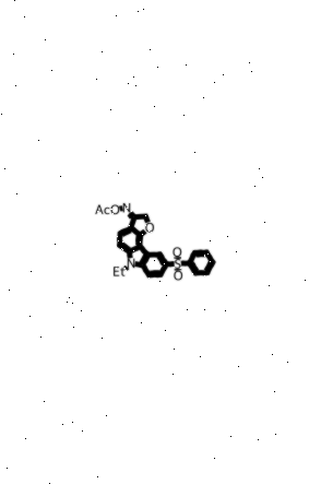 CCn1c2ccc(S(=O)(=O)c3ccccc3)cc2c2c3c(ccc21)/C(=N\OC(C)=O)CO3